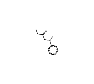 CCC(=O)CN(C)c1ccccc1